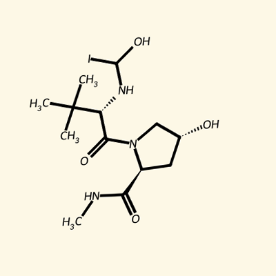 CNC(=O)[C@@H]1C[C@@H](O)CN1C(=O)[C@@H](NC(O)I)C(C)(C)C